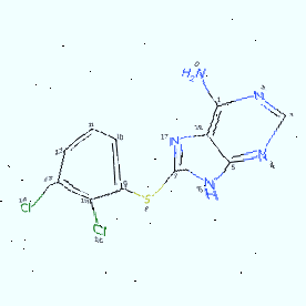 Nc1ncnc2[nH]c(Sc3cccc(Cl)c3Cl)nc12